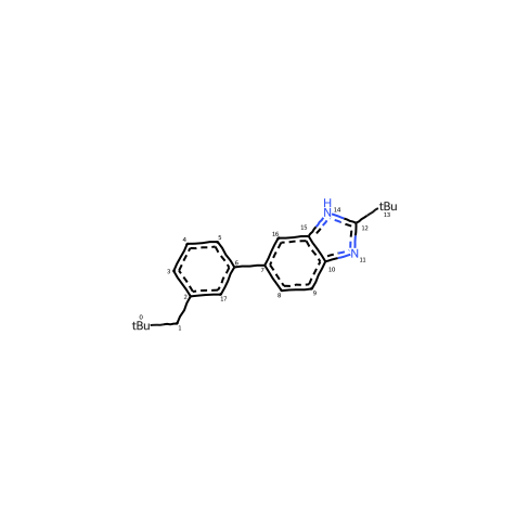 CC(C)(C)Cc1cccc(-c2ccc3nc(C(C)(C)C)[nH]c3c2)c1